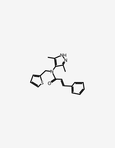 Cc1n[nH]c(C)c1N(Cc1cccs1)C(=O)/C=C/c1ccccc1